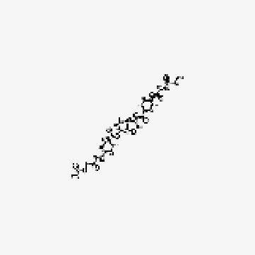 C=CC(=O)OCC(=O)COc1ccc(C(=O)OC2COC3C(OC(=O)c4ccc(OC(=O)COC(=O)C=C)cc4)COC23)cc1